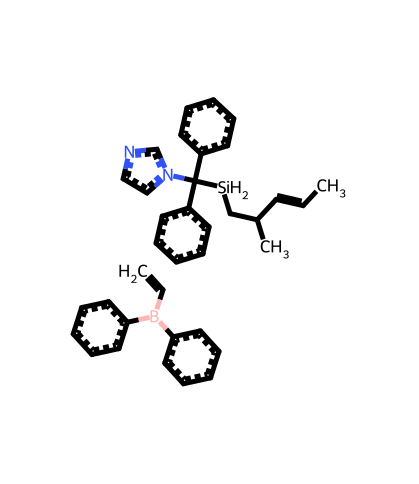 C=CB(c1ccccc1)c1ccccc1.CC=CC(C)C[SiH2]C(c1ccccc1)(c1ccccc1)n1ccnc1